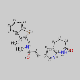 Cc1c(CN(C)C(=O)C=Cc2cnc3c(c2)CCCC(=O)N3)sc2ccccc12